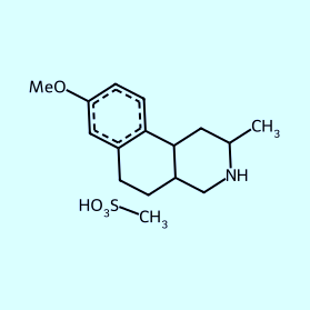 COc1ccc2c(c1)CCC1CNC(C)CC21.CS(=O)(=O)O